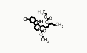 C=C/C=C(\C=C/CC1c2[nH]c3ccc(Cl)cc3c2CCN1C(=O)OCC)OC(=O)OCC